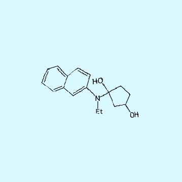 CCN(c1ccc2ccccc2c1)C1(O)CCC(O)C1